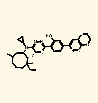 CC[C@]1(C)CCCC(C)C[C@H](N(c2cnc(-c3ccc(-c4cc5c(nn4)OCCO5)cc3O)nn2)C2CC2)[C@@H]1F